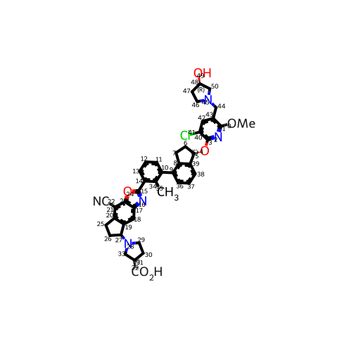 COc1nc(O[C@H]2CCc3c(-c4cccc(-c5nc6cc7c(c(C#N)c6o5)CCC7N5CC[C@@H](C(=O)O)C5)c4C)cccc32)c(Cl)cc1CN1CC[C@@H](O)C1